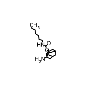 CCCCCCCNC(=O)OC12CC3CC(CC(N)(C3)C1)C2